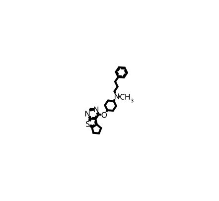 CN(CCCc1ccccc1)C1CCC(Oc2ncnc3sc4c(c23)CCC4)CC1